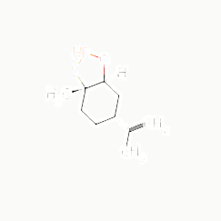 C=C(C)[C@@H]1CC[C@]2(C)SPO[C@H]2C1